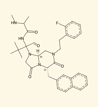 CNC(C)C(=O)NC(C=O)(N1CC(=O)N2[C@@H](Cc3ccc4ccccc4c3)C(=O)N(CCc3ccccc3F)C[C@@H]21)C(C)(C)C